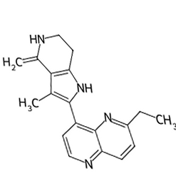 C=C1NCCc2[nH]c(-c3ccnc4ccc(CC)nc34)c(C)c21